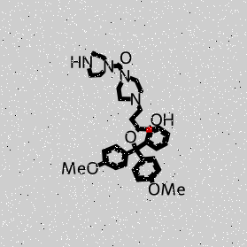 COc1ccc(C(OC(CO)CCN2CCN(C(=O)N3CCNCC3)CC2)(c2ccccc2)c2ccc(OC)cc2)cc1